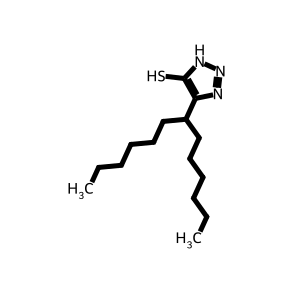 CCCCCCC(CCCCCC)c1nn[nH]c1S